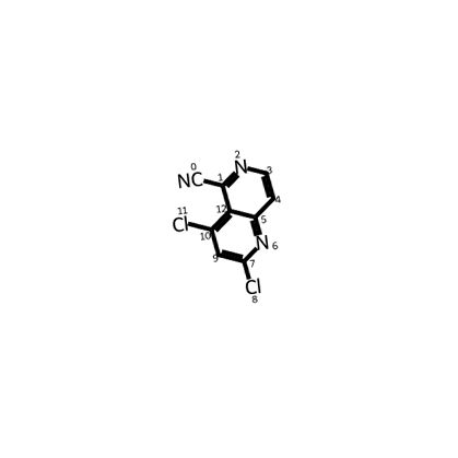 N#Cc1nccc2nc(Cl)cc(Cl)c12